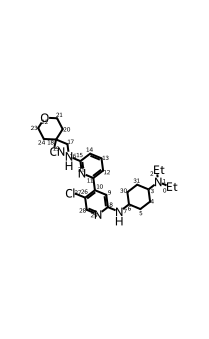 CCN(CC)C1CCC(Nc2cc(-c3cccc(NCC4(C#N)CCOCC4)n3)c(Cl)cn2)CC1